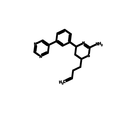 C=CCCC1CC(c2cccc(-c3cncnc3)c2)N=C(N)S1